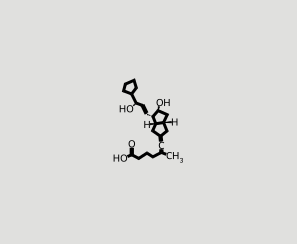 CC(=C=C1C[C@H]2C[C@H](O)[C@@H](/C=C/[C@H](O)C3CCCC3)[C@H]2C1)CCCC(=O)O